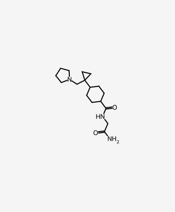 NC(=O)CNC(=O)C1CCC(C2(CN3CCCC3)CC2)CC1